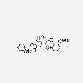 COc1ccccc1OC(CO)C(O)c1cc(C)c(OCc2ccccc2)c(OC)c1